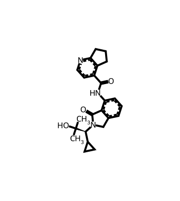 CC(C)(O)[C@H](C1CC1)N1Cc2cccc(NC(=O)c3ccnc4c3CCC4)c2C1=O